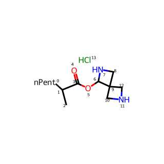 CCCCCC(C)C(=O)OC1NCC12CNC2.Cl